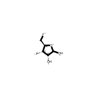 OC1O[C@H](CF)[C@@H](F)[C@H]1O